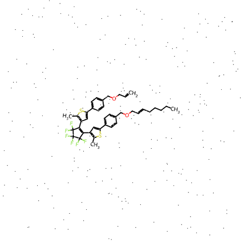 C=CCOCc1ccc(-c2cc(C3=C(c4cc(-c5ccc(COC/C=C/CCCCC)cc5)sc4C)C(F)(F)C(F)(F)C3(F)F)c(C)s2)cc1